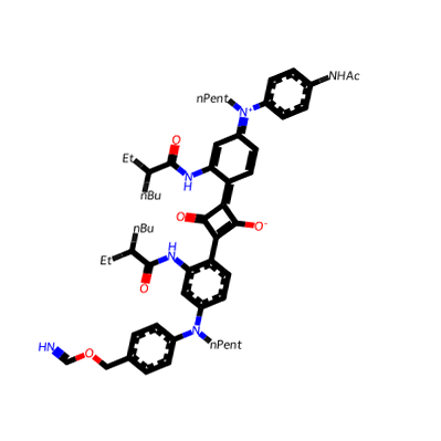 CCCCCN(c1ccc(COC=N)cc1)c1ccc(C2=C([O-])/C(=C3C=C/C(=[N+](/CCCCC)c4ccc(NC(C)=O)cc4)C=C\3NC(=O)C(CC)CCCC)C2=O)c(NC(=O)C(CC)CCCC)c1